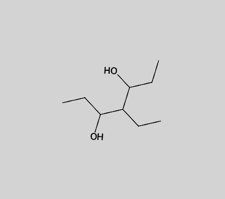 CCC(O)C(CC)C(O)CC